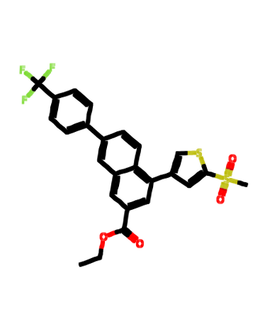 CCOC(=O)c1cc(-c2csc(S(C)(=O)=O)c2)c2ccc(-c3ccc(C(F)(F)F)cc3)cc2c1